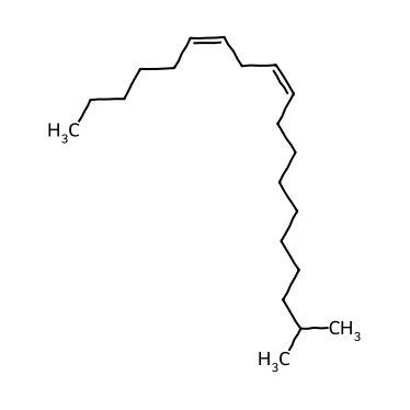 CCCCC/C=C\C/C=C\CCCCCCCC(C)C